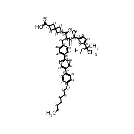 CCCCCCCOc1ccc(-c2cnc(-c3ccc(C[C@H](NC(=O)c4ccc(C(C)(C)C)s4)C(=O)N4CC5(CC(C(=O)O)C5)C4)cc3)nc2)cc1